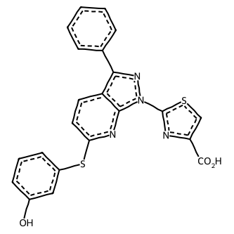 O=C(O)c1csc(-n2nc(-c3ccccc3)c3ccc(Sc4cccc(O)c4)nc32)n1